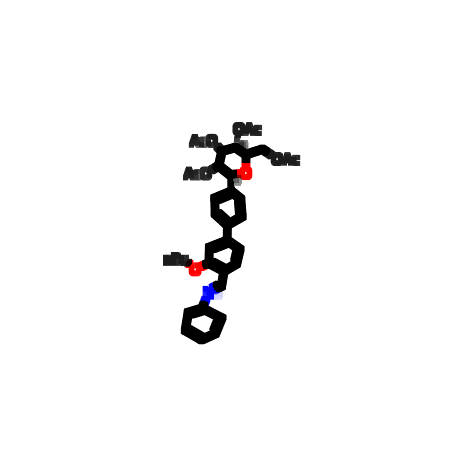 CCCCOc1cc(-c2ccc([C@@H]3OC(COC(C)=O)[C@@H](OC(C)=O)C(OC(C)=O)C3OC(C)=O)cc2)ccc1/C=N/c1ccccc1